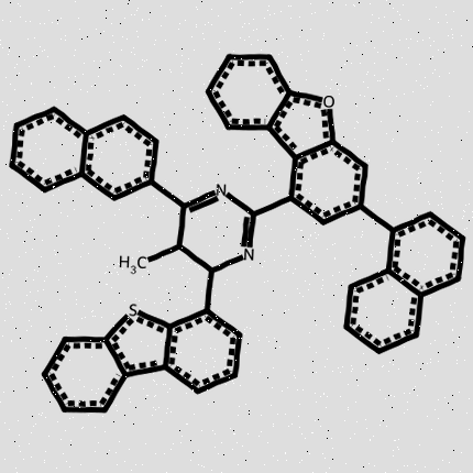 CC1C(c2ccc3ccccc3c2)=NC(c2cc(-c3cccc4ccccc34)cc3oc4ccccc4c23)=NC1c1cccc2c1sc1ccccc12